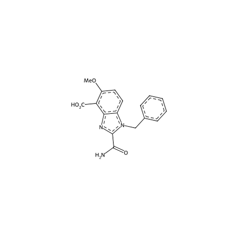 COc1ccc2c(nc(C(N)=O)n2Cc2ccccc2)c1C(=O)O